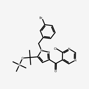 CC(C)(O[Si](C)(C)C)c1cc(C(=O)c2cncnc2Cl)nn1Cc1cccc(Br)c1